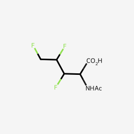 CC(=O)NC(C(=O)O)C(F)C(F)CF